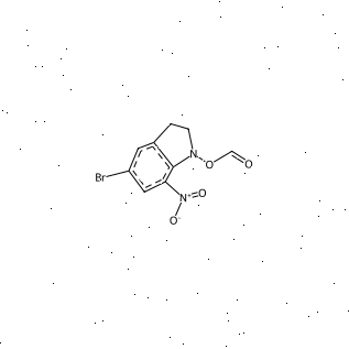 O=CON1CCc2cc(Br)cc([N+](=O)[O-])c21